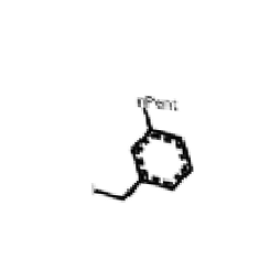 CCCCCc1cccc(CI)c1